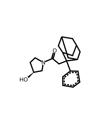 O=C(CC1(c2ccccc2)C2CC3CC(C2)CC1C3)N1CC[C@H](O)C1